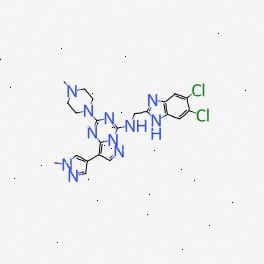 CN1CCN(c2nc(NCc3nc4cc(Cl)c(Cl)cc4[nH]3)n3ncc(-c4cnn(C)c4)c3n2)CC1